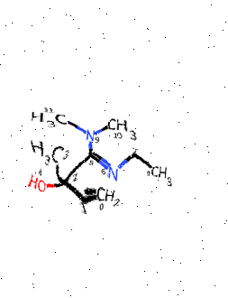 C=CC(C)(O)C(=NCC)N(C)C